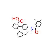 Cc1ccc(C(=O)N(CCCc2ccccc2)Cc2ccc(-c3ccccc3C(=O)O)cc2)cc1C